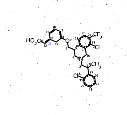 CC(CN(CCCOC1=CC=C/C(=C\C(=O)O)C1)Cc1cccc(C(F)(F)F)c1Cl)c1ccccc1Cl